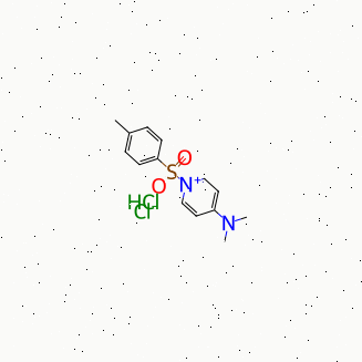 Cc1ccc(S(=O)(=O)[n+]2ccc(N(C)C)cc2)cc1.Cl.[Cl-]